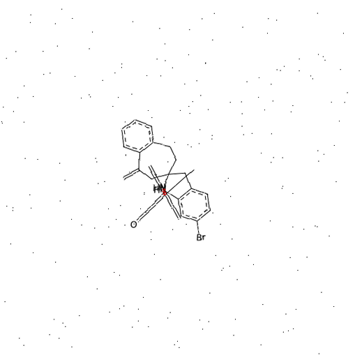 C=C1CC2(CCc3ccccc31)Cc1ccc(Br)cc1C21NC(=O)NC1=C